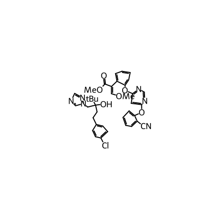 CC(C)(C)C(O)(CCc1ccc(Cl)cc1)Cn1cncn1.CO/C=C(/C(=O)OC)c1ccccc1Oc1cc(Oc2ccccc2C#N)ncn1